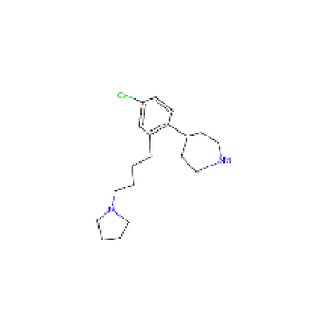 Clc1ccc(C2CCNCC2)c(CCCCN2CCCC2)c1